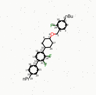 CCCCc1ccc(COC2CCC(c3ccc(-c4ccc(CCC)cc4)c(F)c3F)CC2)c(F)c1